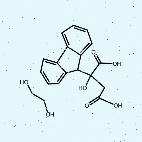 O=C(O)CC(O)(C(=O)O)C1c2ccccc2-c2ccccc21.OCCO